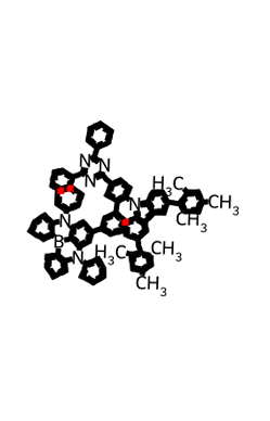 Cc1cc(C)c(-c2ccc3c(c2)c2cc(-c4c(C)cc(C)cc4C)ccc2n3-c2ccc(-c3nc(-c4ccccc4)nc(-c4ccccc4)n3)cc2-c2cccc(-c3cc4c5c(c3)N(c3ccccc3)c3ccccc3B5c3ccccc3N4c3ccccc3)c2)c(C)c1